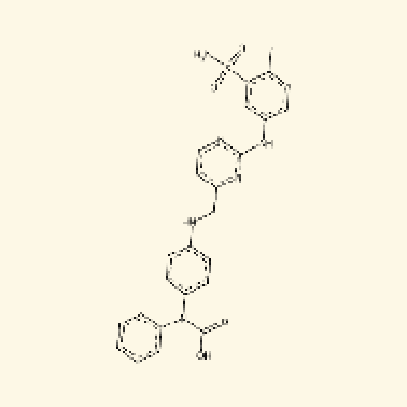 Cc1ccc(Nc2nccc(CNc3ccc(N(C(=O)O)c4ccccc4)cc3)n2)cc1S(N)(=O)=O